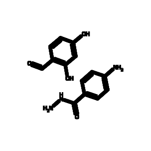 NNC(=O)c1ccc(N)cc1.O=Cc1ccc(O)cc1O